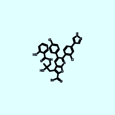 CCC(=O)c1oc2nc(-c3ccc(-c4cn[nH]c4)cc3Cl)c(-c3ccc(Cl)cc3)cc2c1CC(C)(O)CNC(=O)c1ccccc1O